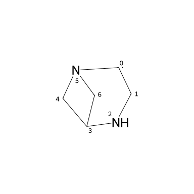 [CH]1CNC2CN1C2